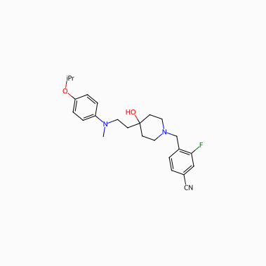 CC(C)Oc1ccc(N(C)CCC2(O)CCN(Cc3ccc(C#N)cc3F)CC2)cc1